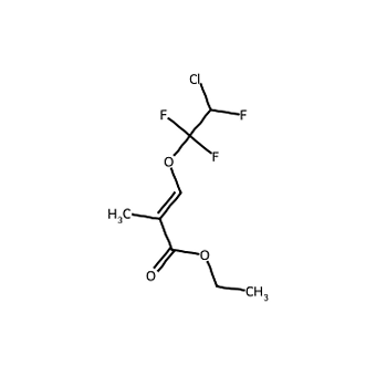 CCOC(=O)C(C)=COC(F)(F)C(F)Cl